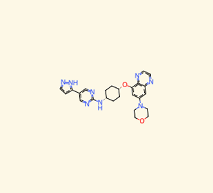 c1cc(-c2cnc(N[C@H]3CC[C@@H](Oc4cc(N5CCOCC5)cc5nccnc45)CC3)nc2)[nH]n1